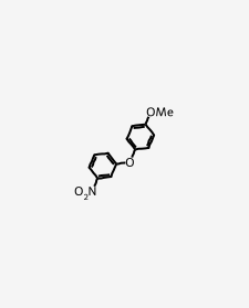 COc1ccc(Oc2cccc([N+](=O)[O-])c2)cc1